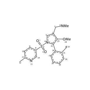 CNCc1cn(S(=O)(=O)c2ccc(C)nc2)c(-c2ccccc2F)c1OC